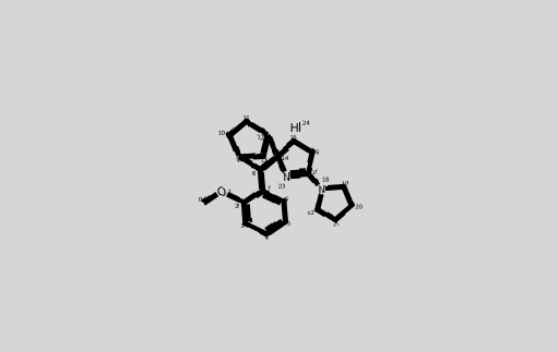 COc1ccccc1C1C2CCC(C2)C12CCC(N1CCCC1)=N2.I